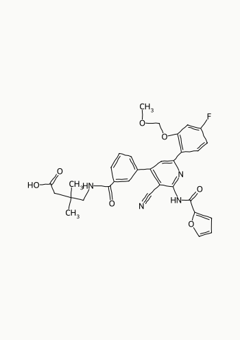 COCOc1cc(F)ccc1-c1cc(-c2cccc(C(=O)NCC(C)(C)CC(=O)O)c2)c(C#N)c(NC(=O)c2ccco2)n1